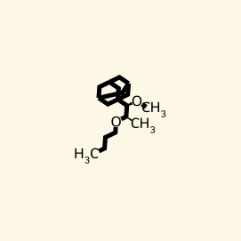 CCCCO[C@@H](C)[C@H](OC)C12CC3CC(CC(C3)C1)C2